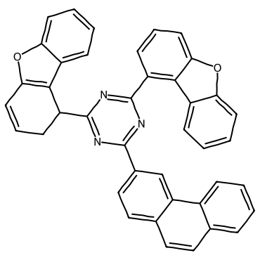 C1=Cc2oc3ccccc3c2C(c2nc(-c3ccc4ccc5ccccc5c4c3)nc(-c3cccc4oc5ccccc5c34)n2)C1